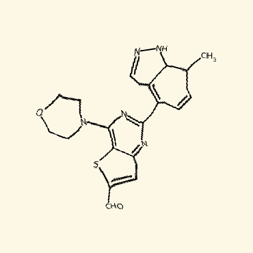 CC1C=CC(c2nc(N3CCOCC3)c3sc(C=O)cc3n2)=C2C=NNC21